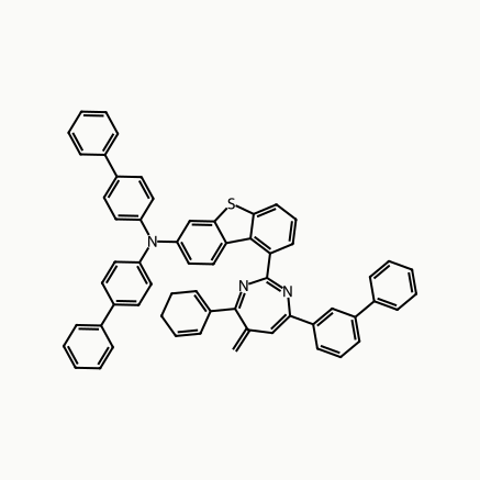 C=C1C=C(c2cccc(-c3ccccc3)c2)N=C(c2cccc3sc4cc(N(c5ccc(-c6ccccc6)cc5)c5ccc(-c6ccccc6)cc5)ccc4c23)N=C1C1=CCCC=C1